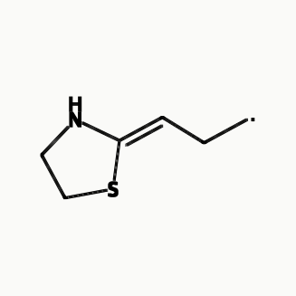 [CH2]CC=C1NCCS1